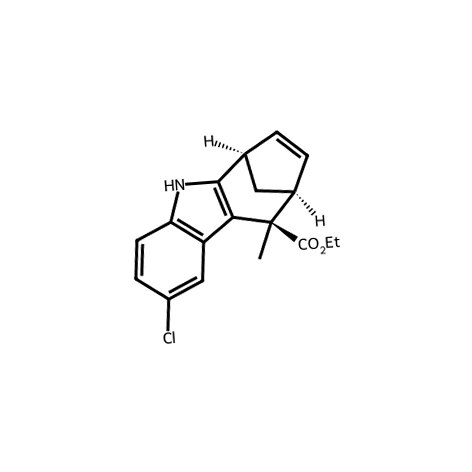 CCOC(=O)[C@@]1(C)c2c([nH]c3ccc(Cl)cc23)[C@H]2C=C[C@@H]1C2